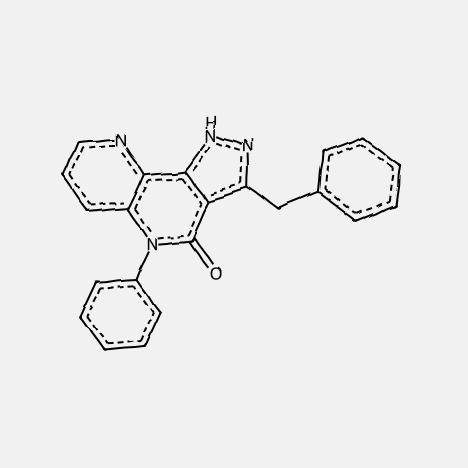 O=c1c2c(Cc3ccccc3)n[nH]c2c2ncccc2n1-c1ccccc1